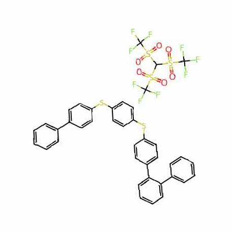 O=S(=O)(C(S(=O)(=O)C(F)(F)F)S(=O)(=O)C(F)(F)F)C(F)(F)F.c1ccc(-c2ccc(Sc3ccc(Sc4ccc(-c5ccccc5-c5ccccc5)cc4)cc3)cc2)cc1